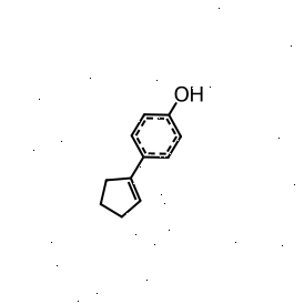 Oc1ccc(C2=CCCC2)cc1